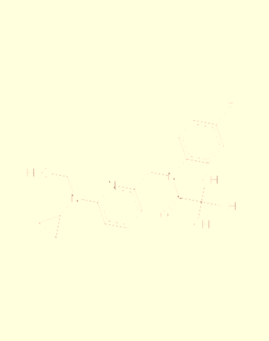 CCN(c1cccc(CN(C(=O)C(C)(C)C)c2ccc(F)cc2)n1)C1CC1